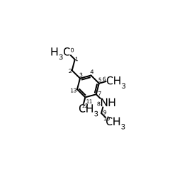 CCCc1cc(C)c(NCC)c(C)c1